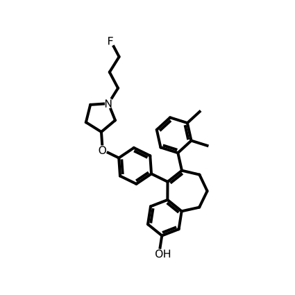 Cc1cccc(C2=C(c3ccc(OC4CCN(CCCF)C4)cc3)c3ccc(O)cc3CCC2)c1C